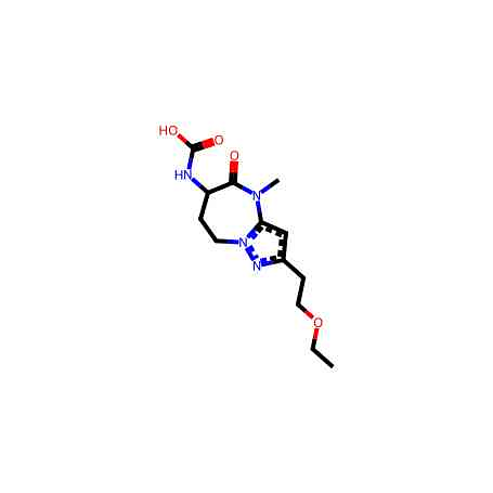 CCOCCc1cc2n(n1)CCC(NC(=O)O)C(=O)N2C